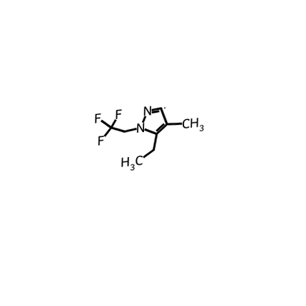 CCc1c(C)[c]nn1CC(F)(F)F